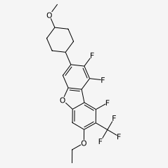 CCOc1cc2oc3cc(C4CCC(OC)CC4)c(F)c(F)c3c2c(F)c1C(F)(F)F